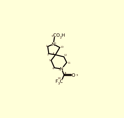 O=C(O)N1CCC2(CCN(C(=O)C(F)(F)F)CC2)C1